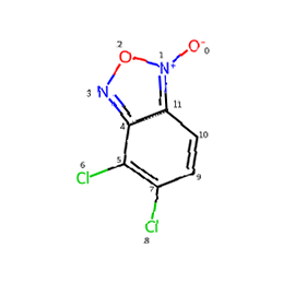 [O-][n+]1onc2c(Cl)c(Cl)ccc21